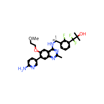 COCCOc1cc2c(N[C@H](C)c3cccc(C(F)(F)C(C)(C)O)c3F)nc(C)nc2cc1-c1ccc(N)nc1